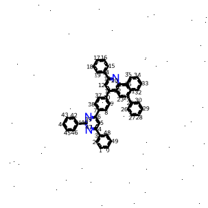 c1ccc(-c2cc(-c3ccc(-c4cc(-c5ccccc5)nc5c4cc(-c4ccccc4)c4ccccc45)cc3)nc(-c3ccccc3)n2)cc1